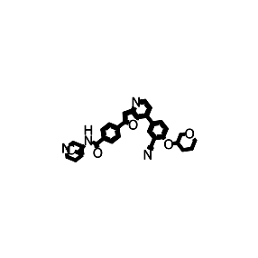 N#Cc1cc(-c2ccnc3cc(-c4ccc(C(=O)NC5CN6CCC5CC6)cc4)oc23)ccc1OC1CCCOC1